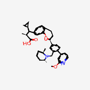 COc1cc(-c2ccc([C@@H]3CCc4ccc(C(C5CC5)[C@H](C)C(=O)O)cc4O3)cc2CN2[C@H](C)CCC[C@H]2C)ccn1